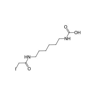 O=C(O)NCCCCCCNC(=O)CI